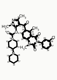 Cc1nn(C)c(OC(=O)N2CCC(N3CCCCC3)CC2)c1C(=O)c1ccc2c(c1C)c(=O)n(-c1cccc(Cl)c1)c(=O)n2C